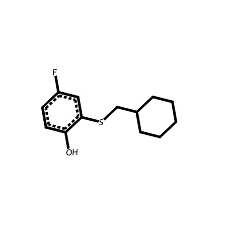 Oc1ccc(F)cc1SCC1CCCCC1